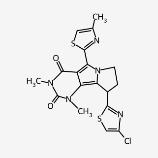 Cc1csc(-c2c3c(=O)n(C)c(=O)n(C)c3c3n2CCC3c2nc(Cl)cs2)n1